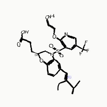 CC/C(=C\c1ccc2c(c1)N(S(=O)(=O)c1cc(C(F)(F)F)cnc1OCCO)C[C@H](CCC(=O)O)O2)C(C)C